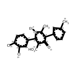 CCn1c(C)c(-c2cccc(C)c2)c(=O)c(C(=O)O)c1-c1ccc(Cl)c(Cl)c1